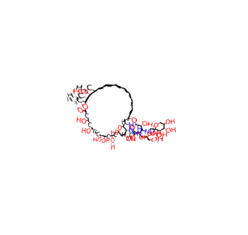 C[C@@H]1[C@H](O)[C@@H](C)/C=C/C=C/C=C/C=C/C=C/C=C/C=C/[C@H](O[C@@H]2O[C@H](C)[C@@H](O)[C@H](NC[C@@]3(O)OC[C@@H](O)[C@H](O)[C@@H]3O)[C@@H]2O)C[C@@H]2O[C@](O)(C[C@@H](O)C[C@@H](O)[C@H](O)CC[C@@H](O)C[C@@H](O)CC(=O)O[C@H]1C)C[C@H](O)[C@H]2NC(=O)NC[C@H](O)CO